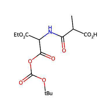 CCOC(=O)C(NC(=O)C(C)C(=O)O)C(=O)OC(=O)OC(C)(C)C